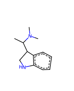 CC(C1CNc2ccccc21)N(C)C